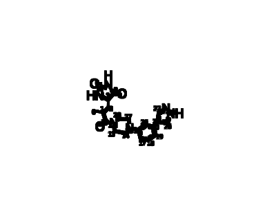 C[C@@H](C[C@H]1NC(=O)NC1=O)C(=O)N1CCN(c2cccc(-c3cn[nH]c3)c2)CC1